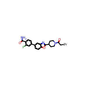 CC(C)CC(=O)N1CCC(c2nc3cc(-c4ccc(C(N)=O)c(F)c4)ccc3o2)CC1